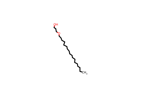 CCCCCCCCCCCCCCCCCCOCCCO